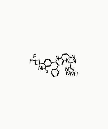 NC1(c2ccc(-c3nc4ccc5nnc(-c6c[nH]nn6)n5c4cc3-c3ccccc3)cc2)CC(F)(F)C1